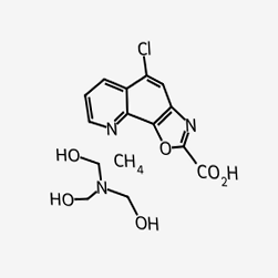 C.O=C(O)c1nc2cc(Cl)c3cccnc3c2o1.OCN(CO)CO